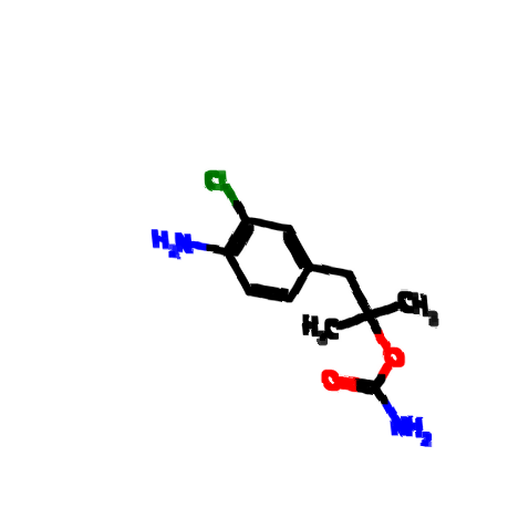 CC(C)(Cc1ccc(N)c(Cl)c1)OC(N)=O